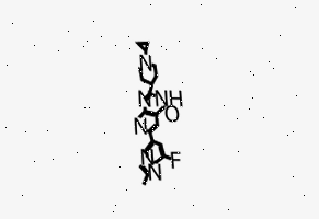 Cc1cn2cc(-c3cc4c(=O)[nH]c(C5CCN(C6CC6)CC5)nc4cn3)cc(F)c2n1